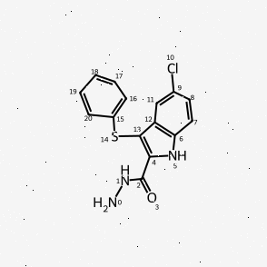 NNC(=O)c1[nH]c2ccc(Cl)cc2c1Sc1ccccc1